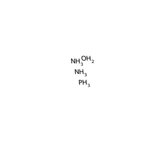 N.N.O.P